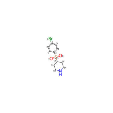 O=S(=O)(c1ccc(Br)cc1)C1CCNCC1